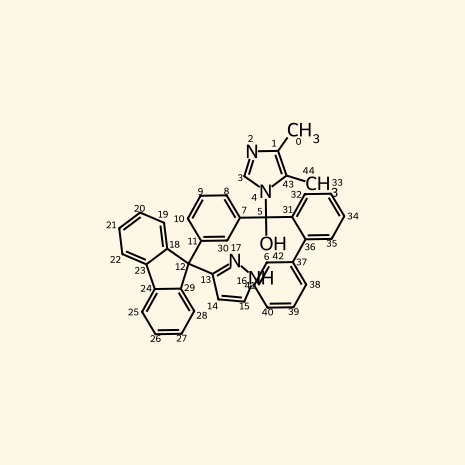 Cc1ncn(C(O)(c2cccc(C3(c4cc[nH]n4)c4ccccc4-c4ccccc43)c2)c2ccccc2-c2ccccc2)c1C